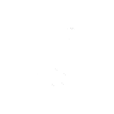 CCCCc1nnnn1CCCC(=O)OC